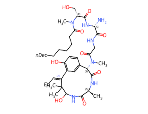 CC/C=C1/c2cc(ccc2O)[C@H](N(C)C(=O)CNC(=O)[C@@H](N)NC(=O)[C@@H](CO)N(C)C(=O)CCCCCCCCCCCCCCC)C(=O)N[C@@H](C)C(=O)NC(O)C1(C)C